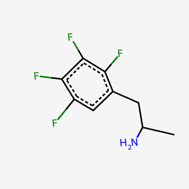 CC(N)Cc1cc(F)c(F)c(F)c1F